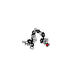 O=C(N[C@@H](c1ccccc1)c1cccc(OCc2ccc(C(=O)N3CCC(CNC[C@H](O)c4ccc(O)c5[nH]c(=O)ccc45)CC3)cc2)c1)O[C@H]1CN2CCC1CC2